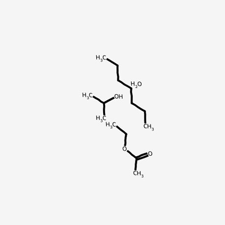 CC(C)O.CCCCCCC.CCOC(C)=O.O